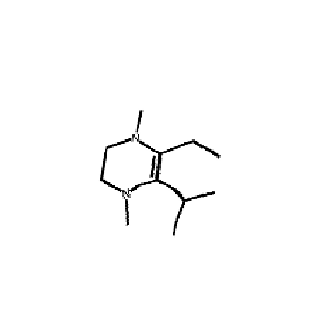 CCC1=C(C(C)C)N(C)CCN1C